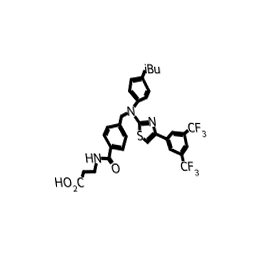 CCC(C)c1ccc(N(Cc2ccc(C(=O)NCCC(=O)O)cc2)c2nc(-c3cc(C(F)(F)F)cc(C(F)(F)F)c3)cs2)cc1